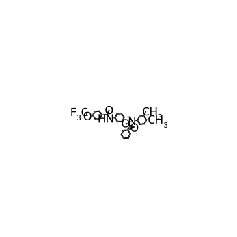 Cc1ccc(N(Cc2ccc(NC(=O)c3ccc(OC(F)(F)F)cc3)cc2)S(=O)(=O)c2ccccc2)cc1C